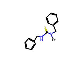 CCN(Cc1ccccc1)C(=S)NCc1ccccc1